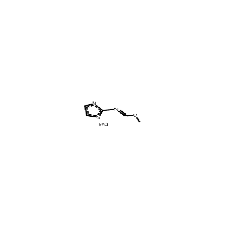 COC=Nc1nccs1.Cl